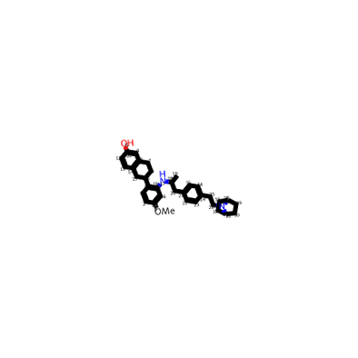 COc1ccc(C2CCc3cc(O)ccc3C2)c(NC(C)Cc2ccc(CCN3C4CCC3CC4)cc2)c1